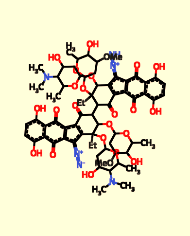 CCC1(OC2CC(O)C(N(C)C)C(C)O2)c2c(c3c(=O)c4c(O)ccc(O)c4c(=O)c=3c2=[N+]=[N-])C(=O)C(C2C(=O)c3c(c(=[N+]=N)c4c(=O)c5c(O)ccc(O)c5c(=O)c3=4)C(OC3CC(O)C(N(C)C)C(C)O3)C2(CC)OC2CC(OC)C(O)C(C)O2)C1OC1CC(OC)C(O)C(C)O1